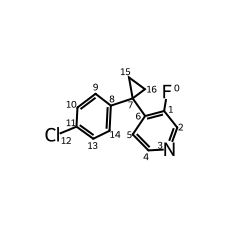 Fc1cnccc1C1(c2ccc(Cl)cc2)CC1